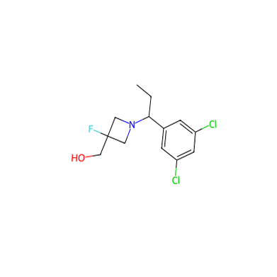 CCC(c1cc(Cl)cc(Cl)c1)N1CC(F)(CO)C1